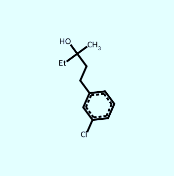 [CH2]CC(C)(O)CCc1cccc(Cl)c1